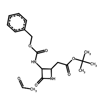 CC(C)(C)OC(=O)CC1NC(=O)C1NC(=O)OCc1ccccc1.CC=O